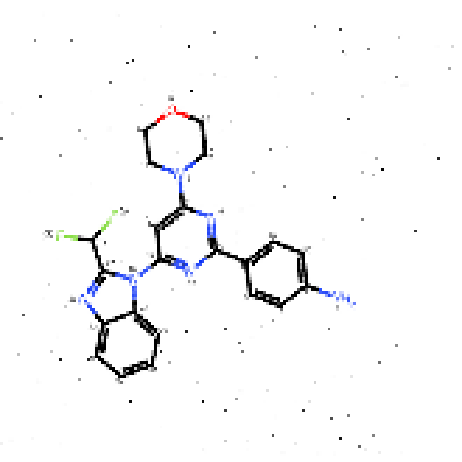 Nc1ccc(-c2nc(N3CCOCC3)cc(-n3c(C(F)F)nc4ccccc43)n2)cc1